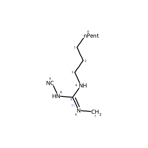 CCCCCCCCN/C(=N\C)NC#N